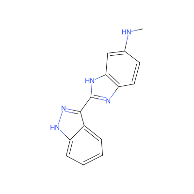 CNc1ccc2nc(-c3n[nH]c4ccccc34)[nH]c2c1